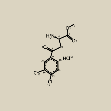 COC(=O)[C@H](N)CC(=O)c1ccc(Cl)c(Cl)c1.Cl